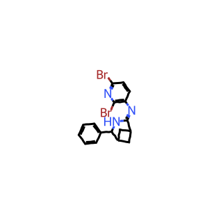 Brc1ccc(/N=C2\NC(c3ccccc3)C3CC2C3)c(Br)n1